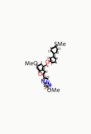 COc1cc(COc2cccc(-c3ccc(SC)cc3)c2)c2cc(-c3cn4nc(OC)sc4n3)oc2c1